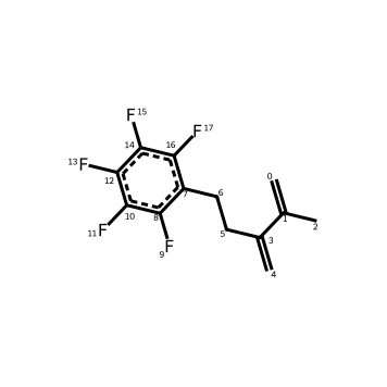 C=C(C)C(=C)CCc1c(F)c(F)c(F)c(F)c1F